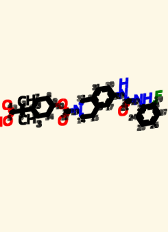 CC(C)(C(=O)O)C1CCC(OC(=O)N2CCc3cc(NC(=O)Nc4ccccc4F)ccc3C2)CC1